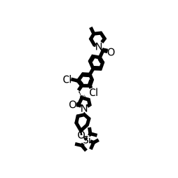 CC1CCN(C(=O)c2ccc(-c3cc(Cl)c(C[C@@H]4CCN([C@H]5CC[C@H](O[Si](C(C)C)(C(C)C)C(C)C)CC5)C4=O)c(Cl)c3)cc2)CC1